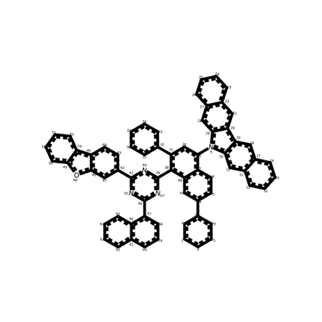 c1ccc(-c2ccc3c(-n4c5cc6ccccc6cc5c5cc6ccccc6cc54)cc(-c4ccccc4)c(-c4nc(-c5ccc6c(c5)oc5ccccc56)nc(-c5cccc6ccccc56)n4)c3c2)cc1